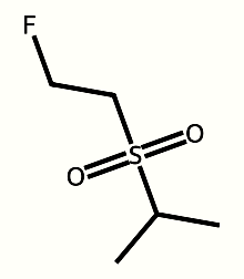 CC(C)S(=O)(=O)CCF